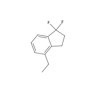 CCc1cccc2c1CCC2(F)F